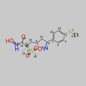 CCSc1ccc(C2=NOC(C[C@](C)(C(=O)NO)S(C)(=O)=O)C2)cc1